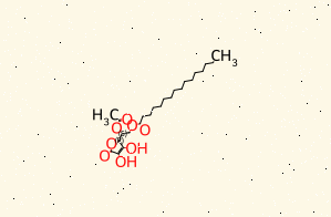 CCCCCCCCCCCCCCCC(=O)OC[C@H](OC(C)=O)[C@H]1OC(=O)C(O)=C1O